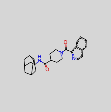 O=C(NC12CC3CC(CC(C3)C1)C2)C1CCN(C(=O)c2nccc3ccccc23)CC1